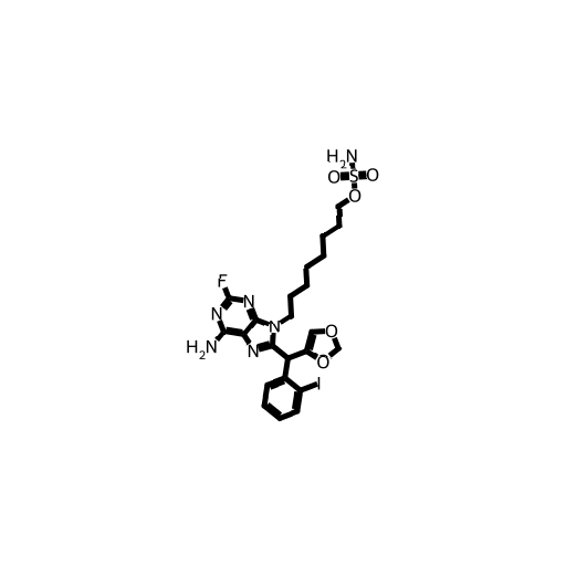 Nc1nc(F)nc2c1nc(C(C1=COCO1)c1ccccc1I)n2CCCCCCCCOS(N)(=O)=O